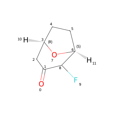 O=C1C[C@H]2CC[C@H](O2)C1F